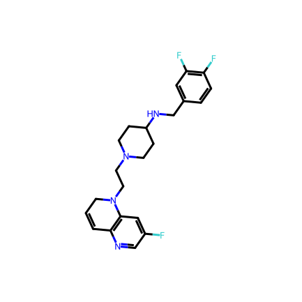 Fc1cnc2c(c1)N(CCN1CCC(NCc3ccc(F)c(F)c3)CC1)CC=C2